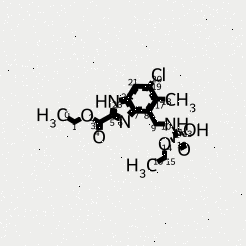 CCOC(=O)c1nc2c(CNP(=O)(O)OCC)c(C)c(Cl)cc2[nH]1